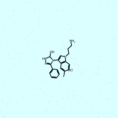 Cl.NCCCn1cc(N2C(c3ccccc3)=NNC2O)c2cc(F)ccc21